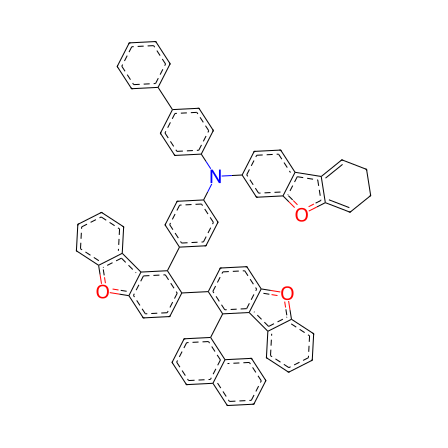 C1=c2oc3cc(N(c4ccc(-c5ccccc5)cc4)c4ccc(-c5c(-c6ccc7oc8ccccc8c7c6-c6cccc7ccccc67)ccc6oc7ccccc7c56)cc4)ccc3c2=CCC1